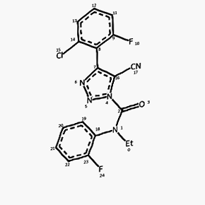 CCN(C(=O)n1nnc(-c2c(F)cccc2Cl)c1C#N)c1ccccc1F